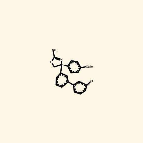 COc1ccc([C@@]2(c3cccc(-c4cccc(Cl)c4)c3)COC(N)=N2)cc1